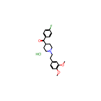 COc1ccc(CCN2CCC(C(=O)c3ccc(F)cc3)CC2)cc1OC.Cl